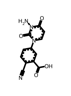 N#Cc1ccc(-n2ccc(=O)n(N)c2=O)cc1C(=O)O